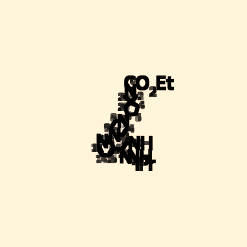 CCOC(=O)N1CC2(CC[C@@H](N3CCN(c4ncccc4/C(C=N)=N/NC(C)C)CC3)C2)C1